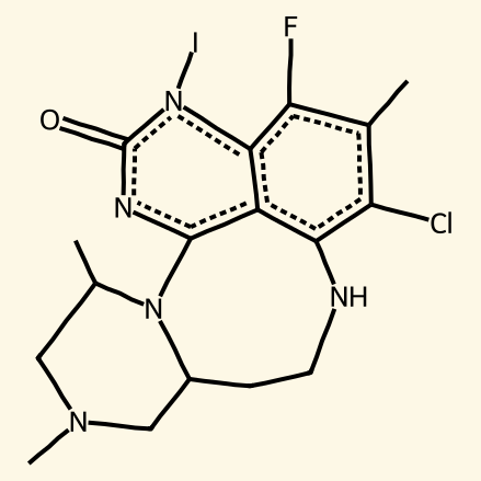 Cc1c(Cl)c2c3c(nc(=O)n(I)c3c1F)N1C(C)CN(C)CC1CCN2